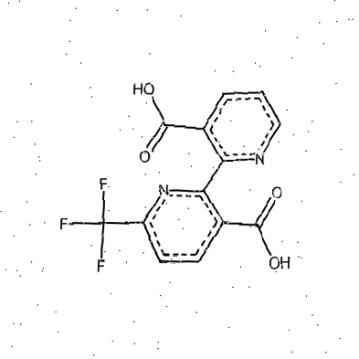 O=C(O)c1cccnc1-c1nc(C(F)(F)F)ccc1C(=O)O